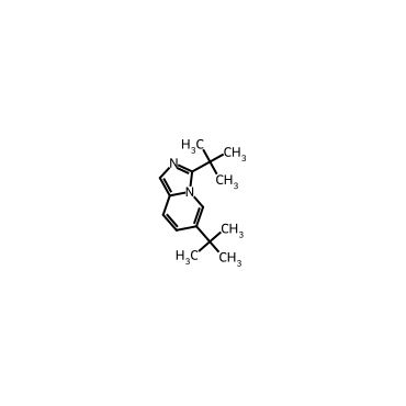 CC(C)(C)c1ccc2cnc(C(C)(C)C)n2c1